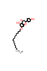 O=C(O)CCCCCCC/C=C\CCCCCCCCOc1cc(O)c2c(c1)OC(c1ccc(O)cc1)CC2=O